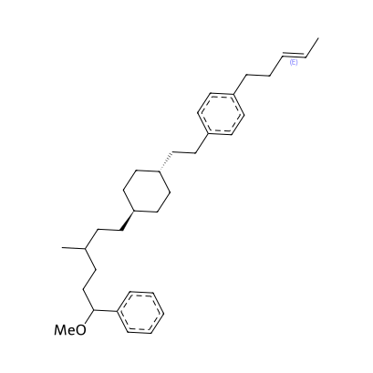 C/C=C/CCc1ccc(CC[C@H]2CC[C@H](CCC(C)CCC(OC)c3ccccc3)CC2)cc1